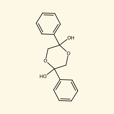 OC1(c2ccccc2)COC(O)(c2ccccc2)CO1